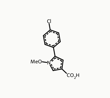 COn1cc(C(=O)O)cc1-c1ccc(Cl)cc1